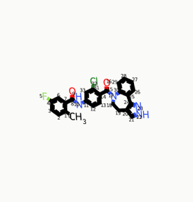 Cc1ccc(F)cc1C(=O)Nc1ccc(C(=O)N2CCc3c[nH]nc3-c3ccccc32)c(Cl)c1